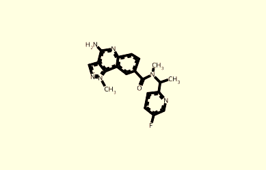 CC(c1ccc(F)cn1)N(C)C(=O)c1ccc2nc(N)c3cnn(C)c3c2c1